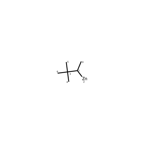 C[CH]([Zn])C(C)(C)C